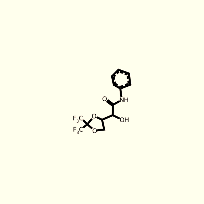 O=C(Nc1ccccc1)C(O)C1COC(C(F)(F)F)(C(F)(F)F)O1